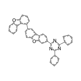 c1ccc(-c2nc(-c3ccccc3)nc(-c3ccc4c(c3)oc3ccc(-c5cccc6oc7ccccc7c56)cc34)n2)cc1